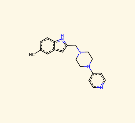 N#Cc1ccc2[nH]c(CN3CCN(c4ccncc4)CC3)cc2c1